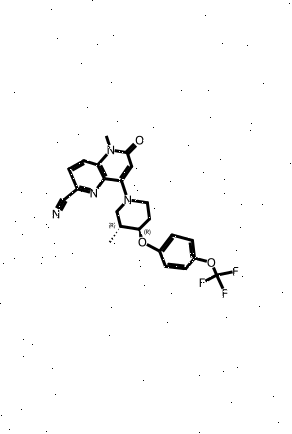 C[C@@H]1CN(c2cc(=O)n(C)c3ccc(C#N)nc23)CC[C@H]1Oc1ccc(OC(F)(F)F)cc1